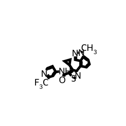 Cn1ncc2c(-c3nsc(C(=O)Nc4ccnc(C(F)(F)F)c4)c3C3CC3)cccc21